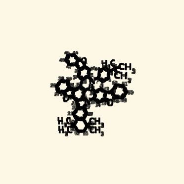 CC(C)(C)c1ccc(N2B3c4cc5c(cc4-n4c6cc7c(cc6c6c8oc9ccccc9c8c(c3c64)-c3cc4c(cc32)oc2ccccc24)C(C)(C)CCC7(C)C)oc2ccccc25)cc1